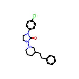 O=C1N(c2ccc(Cl)cc2)CCN1N1CCCC(CCc2ccccc2)C1